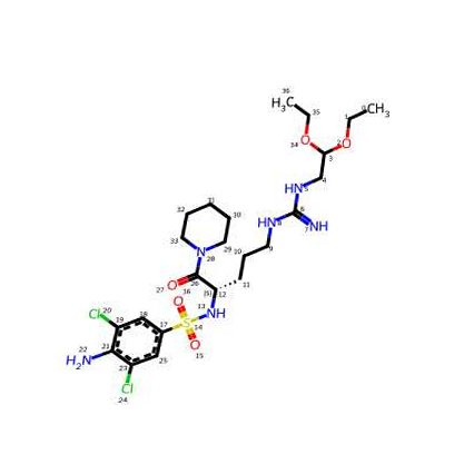 CCOC(CNC(=N)NCCC[C@H](NS(=O)(=O)c1cc(Cl)c(N)c(Cl)c1)C(=O)N1CCCCC1)OCC